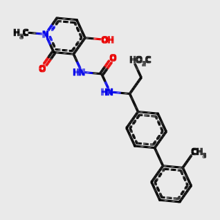 Cc1ccccc1-c1ccc(C(CC(=O)O)NC(=O)Nc2c(O)ccn(C)c2=O)cc1